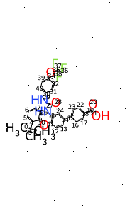 CC(C)(C)c1ccccc1Oc1ccc(-c2ccc(C(=O)O)cc2)cc1NC(=O)Nc1ccc(OC(F)(F)F)cc1